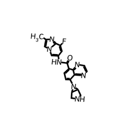 Cc1cn2cc(NC(=O)c3ccc(N4C5CNCC54)c4nccnc34)cc(F)c2n1